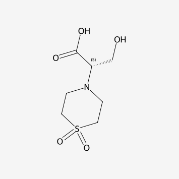 O=C(O)[C@H](CO)N1CCS(=O)(=O)CC1